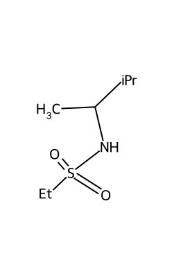 CCS(=O)(=O)NC(C)C(C)C